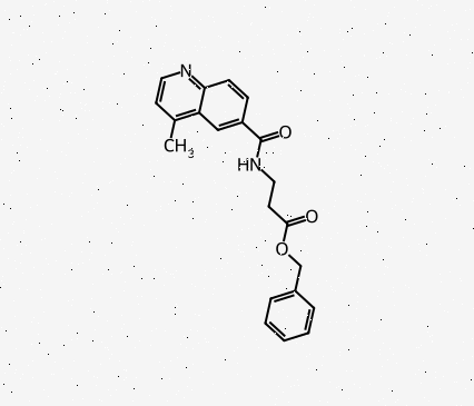 Cc1ccnc2ccc(C(=O)NCCC(=O)OCc3ccccc3)cc12